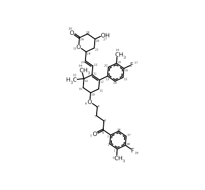 Cc1cc(C(=O)CCCOC2CC(c3ccc(F)c(C)c3)=C(C=CC3CC(O)CC(=O)O3)C(C)(C)C2)ccc1F